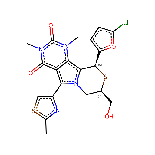 Cc1nc(-c2c3c(=O)n(C)c(=O)n(C)c3c3n2C[C@H](CO)S[C@@H]3c2ccc(Cl)o2)cs1